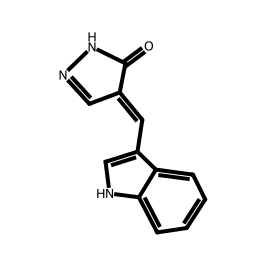 O=C1NN=CC1=Cc1c[nH]c2ccccc12